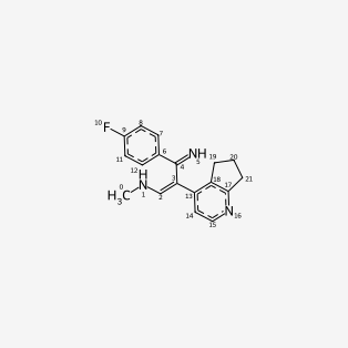 CN/C=C(\C(=N)c1ccc(F)cc1)c1ccnc2c1CCC2